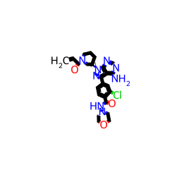 C=CC(=O)N1CCC[C@@H](n2nc(-c3ccc(C(=O)NN4CCOCC4)c(Cl)c3)c3c(N)ncnc32)C1